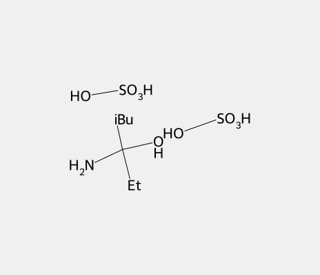 CCC(C)C(N)(O)CC.O=S(=O)(O)O.O=S(=O)(O)O